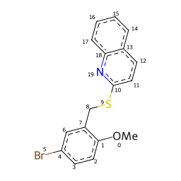 COc1ccc(Br)cc1CSc1ccc2ccccc2n1